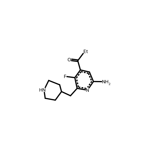 CCC(=O)c1cc(N)nc(CC2CCNCC2)c1F